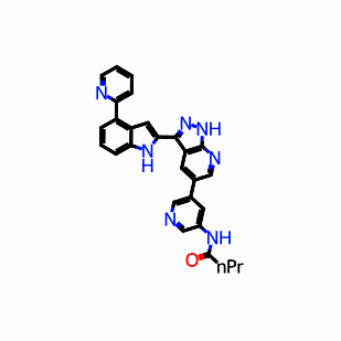 CCCC(=O)Nc1cncc(-c2cnc3[nH]nc(-c4cc5c(-c6ccccn6)cccc5[nH]4)c3c2)c1